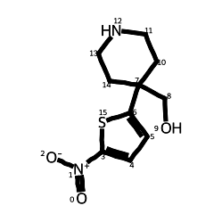 O=[N+]([O-])c1ccc(C2(CO)CCNCC2)s1